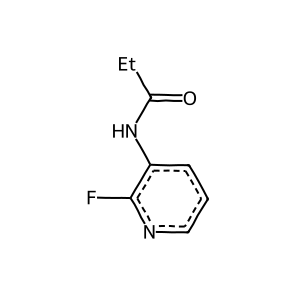 CCC(=O)Nc1cccnc1F